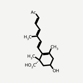 CC(=O)/C=C/C=C(C)/C=C/C1=C(C)CC(O)C[C@]1(C)C(=O)O